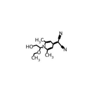 CCOC(CO)N1C(C)=CC(=C(C#N)C#N)C=C1C